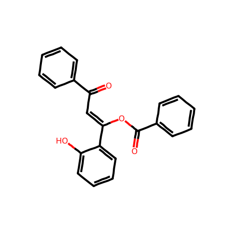 O=C(/C=C(\OC(=O)c1ccccc1)c1ccccc1O)c1ccccc1